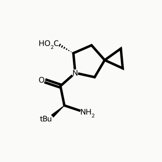 CC(C)(C)[C@H](N)C(=O)N1CC2(CC2)C[C@H]1C(=O)O